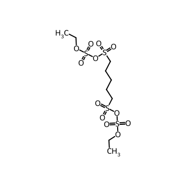 CCOS(=O)(=O)OS(=O)(=O)CCCCCS(=O)(=O)OS(=O)(=O)OCC